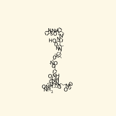 Cc1c(-c2ccc(N3CCc4cccc(C(=O)Nc5nc6ccccc6s5)c4C3)nc2C(=O)O)cnn1CC12CC3(C)CC(C)(C1)C(OCCN(C)C(=O)OCc1ccc(NC(=O)[C@H](CCCNC(N)=O)NC(=O)[C@@H](NC(=O)CCCN4C(=O)C=CC4=O)C(C)C)cc1)(C3)C2